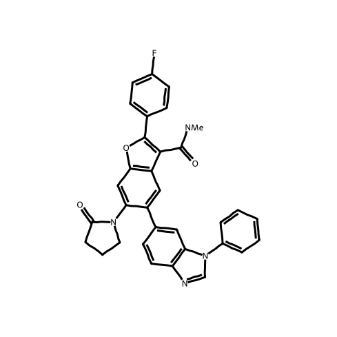 CNC(=O)c1c(-c2ccc(F)cc2)oc2cc(N3CCCC3=O)c(-c3ccc4ncn(-c5ccccc5)c4c3)cc12